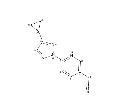 O=Cc1ccc(-n2ccc(C3CC3)n2)nc1